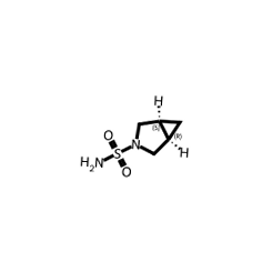 NS(=O)(=O)N1C[C@H]2C[C@H]2C1